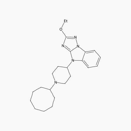 CCOc1nc2n(C3CCN(C4CCCCCCC4)CC3)c3ccccc3n2n1